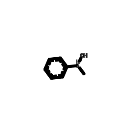 C[SH](O)c1ccccc1